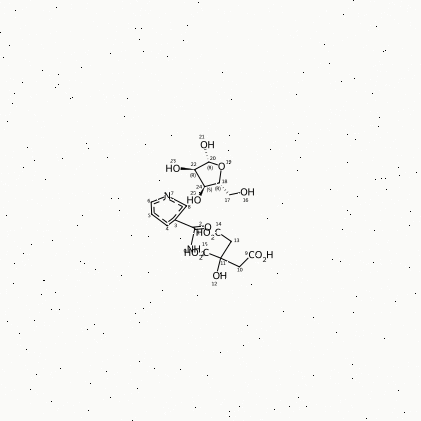 NC(=O)c1cccnc1.O=C(O)CC(O)(CC(=O)O)C(=O)O.OC[C@H]1O[C@@H](O)[C@H](O)[C@@H]1O